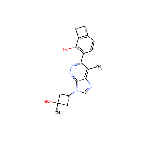 Cc1c(-c2ccc3c(c2O)CC3)nnc2c1ncn2C1CC(C)(O)C1